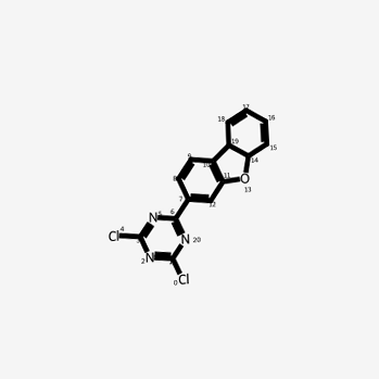 Clc1nc(Cl)nc(-c2ccc3c(c2)OC2C=CC=CC32)n1